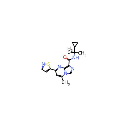 Cc1cc(-c2ccns2)nc2c(C(=O)NC(C)(C)C3CC3)ncn12